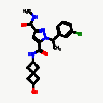 CNC(=O)c1cc(C(=O)NC2CC3(CC(O)C3)C2)n(C(C)c2cccc(Cl)c2)n1